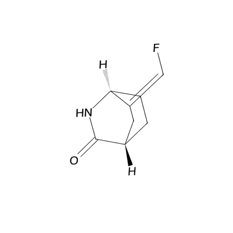 O=C1N[C@H]2CC[C@H]1C/C2=C/F